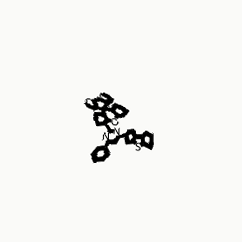 c1ccc(-c2cc(-c3ccc4c(c3)sc3ccccc34)nc(-c3cccc4c3Oc3ccccc3C43c4ccccc4-c4ccccc43)n2)cc1